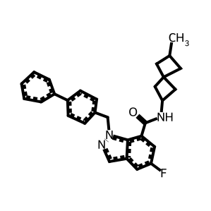 CC1CC2(C1)CC(NC(=O)c1cc(F)cc3cnn(Cc4ccc(-c5ccccc5)cc4)c13)C2